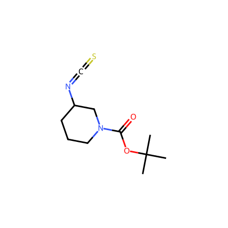 CC(C)(C)OC(=O)N1CCCC(N=C=S)C1